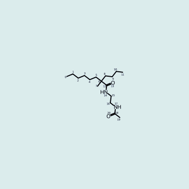 CCCCCCC(C)(CCCC)C(=O)NCCNC(C)=O